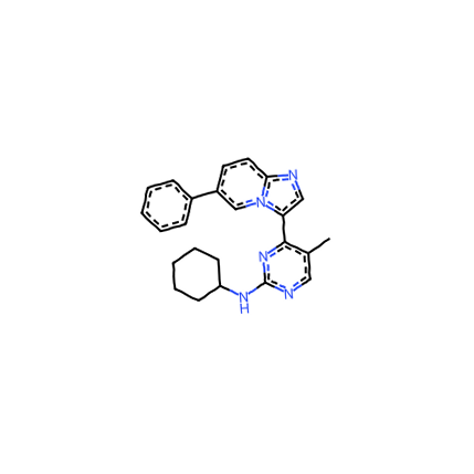 Cc1cnc(NC2CCCCC2)nc1-c1cnc2ccc(-c3ccccc3)cn12